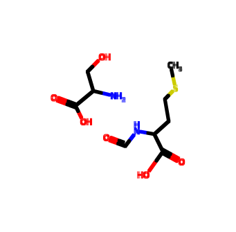 CSCCC(NC=O)C(=O)O.NC(CO)C(=O)O